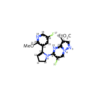 CCOC(=O)c1cnn2cc(F)c(N3CCC=C3c3cc(F)cnc3OC)nc12